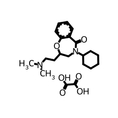 CN(C)CCC1CN(C2CCCCC2)C(=O)c2ccccc2O1.O=C(O)C(=O)O